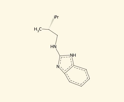 CC(C)[C@@H](C)CNc1nc2ccccc2[nH]1